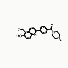 CN1CCN(C(=O)c2ccc(-c3ccc4c(C=O)c(O)ccc4n3)cc2)CC1